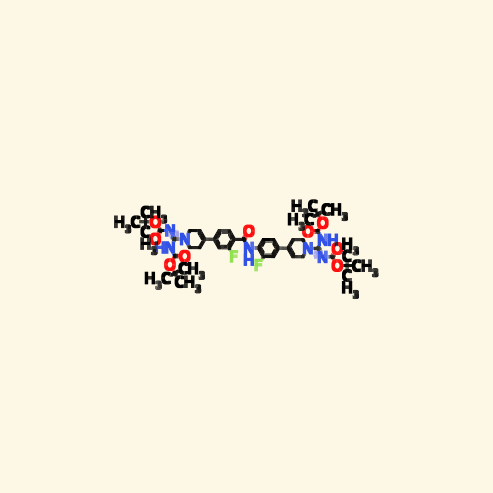 CC(C)(C)OC(=O)/N=C(\NC(=O)OC(C)(C)C)N1CC=C(c2ccc(NC(=O)c3ccc(C4=CCN(/C(=N/C(=O)OC(C)(C)C)NC(=O)OC(C)(C)C)CC4)cc3F)c(F)c2)CC1